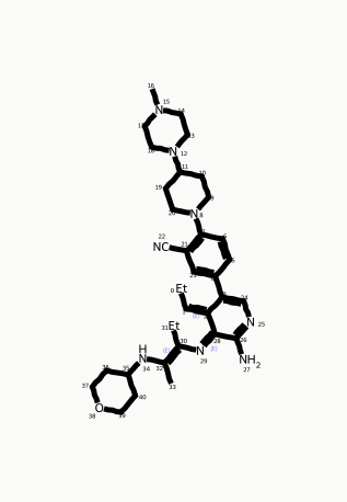 CC\C=C1/C(c2ccc(N3CCC(N4CCN(C)CC4)CC3)c(C#N)c2)=CN=C(N)/C1=N/C(CC)=C(\C)NC1CCOCC1